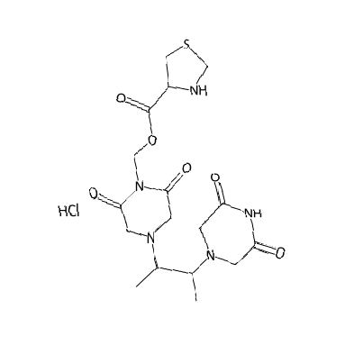 CC(C(C)N1CC(=O)N(COC(=O)C2CSCN2)C(=O)C1)N1CC(=O)NC(=O)C1.Cl